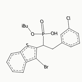 CCC(C)OP(=O)(O)C(Cc1cccc(Cl)c1)c1sc2ccccc2c1Br